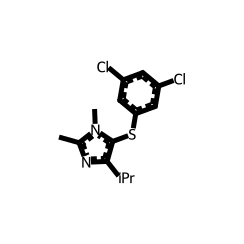 Cc1nc(C(C)C)c(Sc2cc(Cl)cc(Cl)c2)n1C